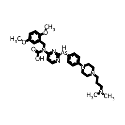 COc1ccc(OC)c(CN(C(=O)O)c2ccnc([AsH]c3ccc(N4CCN(CCCN(C)C)CC4)cc3)n2)c1